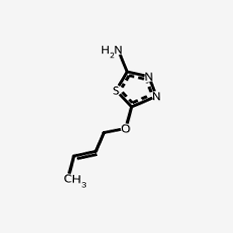 C/C=C/COc1nnc(N)s1